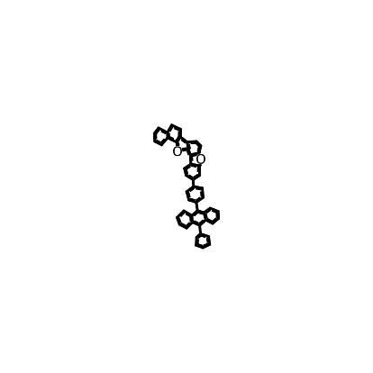 c1ccc(-c2c3ccccc3c(-c3ccc(-c4ccc5c(c4)oc4ccc6c7ccc8ccccc8c7oc6c45)cc3)c3ccccc23)cc1